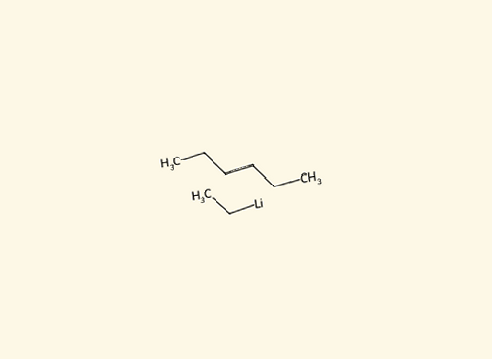 CCCCCC.[Li][CH2]C